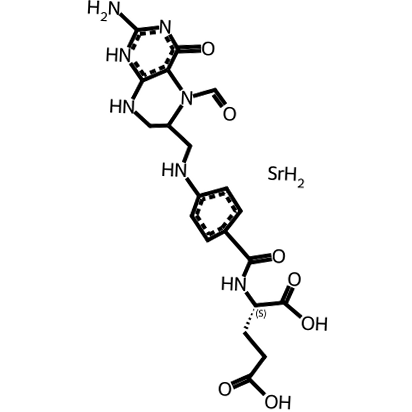 Nc1nc(=O)c2c([nH]1)NCC(CNc1ccc(C(=O)N[C@@H](CCC(=O)O)C(=O)O)cc1)N2C=O.[SrH2]